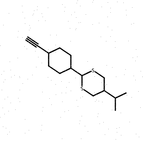 C#CC1CCC(C2SCC(C(C)C)CS2)CC1